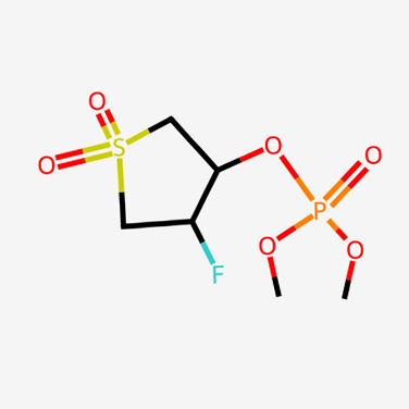 COP(=O)(OC)OC1CS(=O)(=O)CC1F